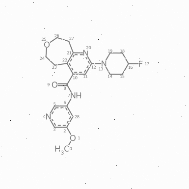 COc1cncc(NC(=O)c2cc(N3CCC(F)CC3)nc3c2CCOCC3)c1